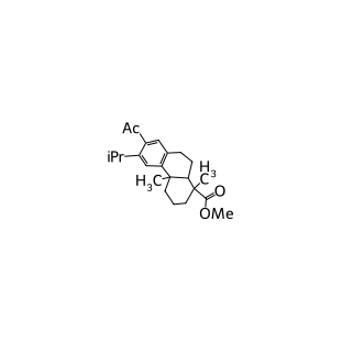 COC(=O)C1(C)CCCC2(C)c3cc(C(C)C)c(C(C)=O)cc3CCC12